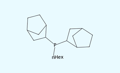 CCCCCCP(C1CC2CCC1C2)C1CC2CCC1C2